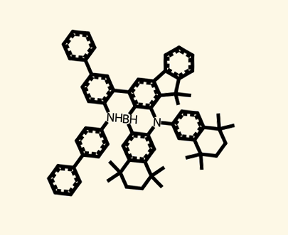 CC1(C)CCC(C)(C)c2cc(N3c4cc5c(cc4Bc4c(-c6cc(-c7ccccc7)ccc6Nc6ccc(-c7ccccc7)cc6)cc6c(c43)C(C)(C)c3ccccc3-6)C(C)(C)CCC5(C)C)ccc21